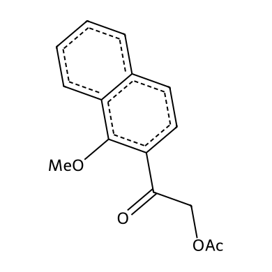 COc1c(C(=O)COC(C)=O)ccc2ccccc12